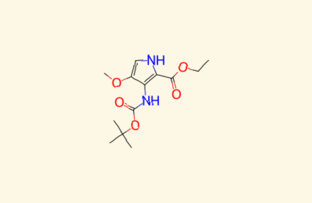 CCOC(=O)c1[nH]cc(OC)c1NC(=O)OC(C)(C)C